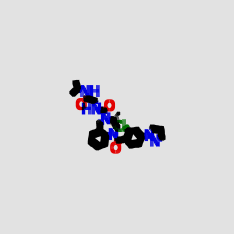 CC(C)NC(=O)CNC(=O)N1Cc2ccccc2N(C(=O)c2ccc(-n3cccn3)cc2Cl)C[C@H]1C